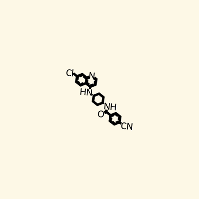 N#Cc1ccc(C(=O)N[C@H]2CC[C@@H](Nc3ccnc4cc(Cl)ccc34)CC2)cc1